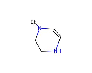 CCN1C=CNCC1